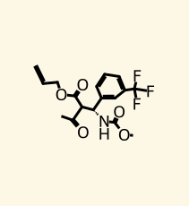 C=CCOC(=O)C(C(C)=O)[C@@H](NC(=O)OC)c1cccc(C(F)(F)F)c1